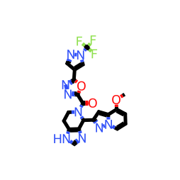 COc1cccn2nc(C3c4nc[nH]c4CCN3C(=O)c3nnc(-c4cnn(C(F)(F)F)c4)o3)cc12